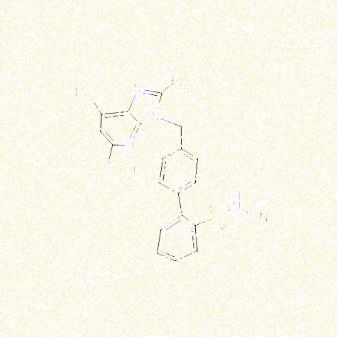 CCc1nc2c(C)cc(C(=O)O)nc2n1Cc1ccc(-c2ccccc2S(=O)(=O)NC#N)cc1